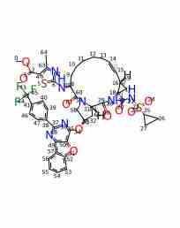 COC(=O)c1sc(N[C@H]2CCCCC/C=C\[C@@H]3C[C@@]3(C(=O)NS(=O)(=O)C3CC3)NC(=O)[C@@H]3C[C@@H](Oc4nc(-c5ccc(C(F)(F)F)cc5)nc5c4oc4ccccc45)CN3C2=O)nc1C